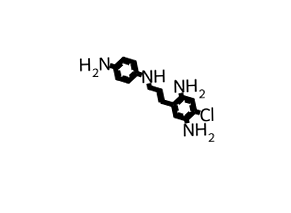 Nc1ccc(NC/C=C/c2cc(N)c(Cl)cc2N)cc1